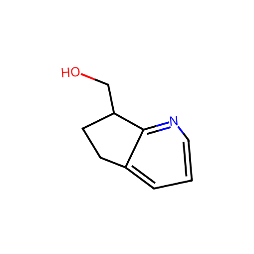 OCC1CCc2cccnc21